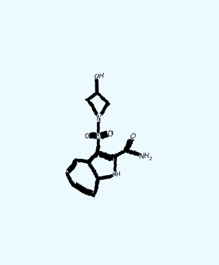 NC(=O)C1=C(S(=O)(=O)N2CC(O)C2)C2C=IC=CC2N1